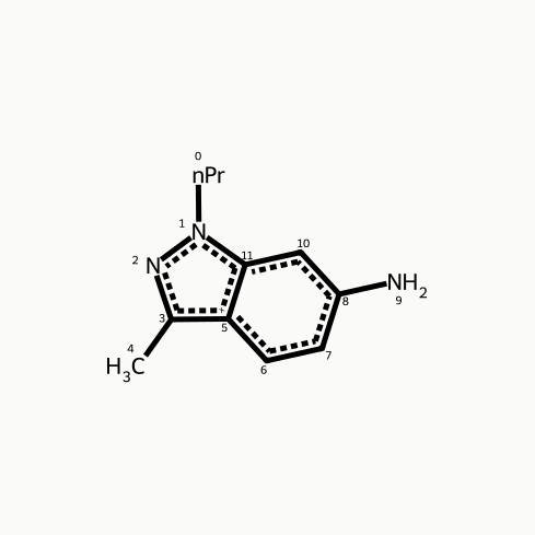 CCCn1nc(C)c2ccc(N)cc21